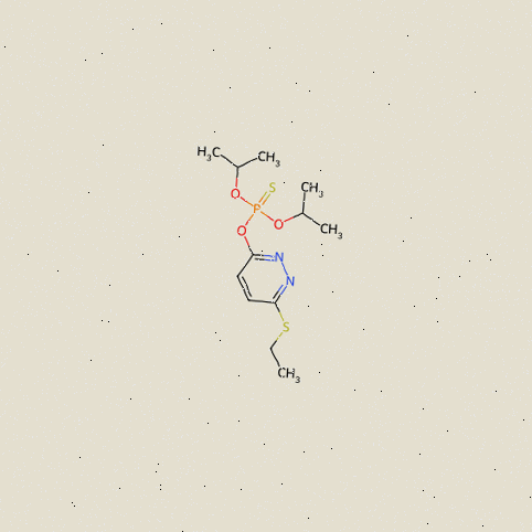 CCSc1ccc(OP(=S)(OC(C)C)OC(C)C)nn1